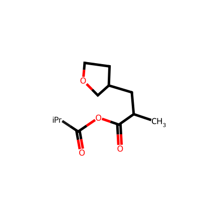 CC(C)C(=O)OC(=O)C(C)CC1CCOC1